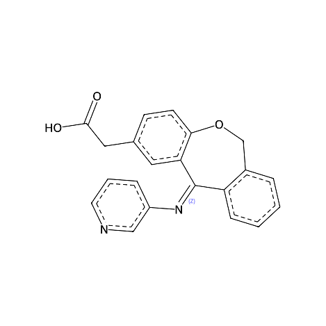 O=C(O)Cc1ccc2c(c1)/C(=N\c1cccnc1)c1ccccc1CO2